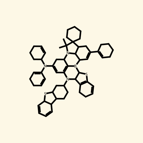 CC1(C)N2C3CC(N(C4=CCCC=C4)C4C=CCCC4)=CC4=C3B(C3C=C(C5=CCCCC5)CC(C32)C12CCCCC2)C1SC2=C(CCC=C2)C1N4C1CCC2C(C1)SC1C=CC=CC12